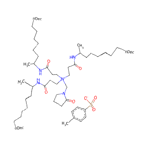 CCCCCCCCCCCCCCCCC(C)NC(=O)CC[N+](CCC(=O)NC(C)CCCCCCCCCCCCCCCC)(CCC(=O)NC(C)CCCCCCCCCCCCCCCC)CN1CCCC1=O.Cc1ccc(S(=O)(=O)[O-])cc1